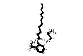 CCCCCCCCCCCCOc1ccccc1C(=O)O.NCCN